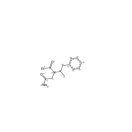 CCC(=O)N(CC(N)=O)C(C)Cc1ccccc1